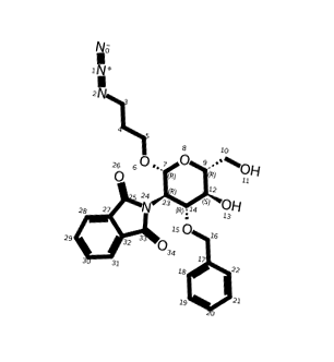 [N-]=[N+]=NCCCO[C@@H]1O[C@H](CO)[C@@H](O)[C@H](OCc2ccccc2)[C@H]1N1C(=O)c2ccccc2C1=O